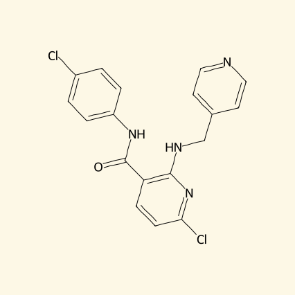 O=C(Nc1ccc(Cl)cc1)c1ccc(Cl)nc1NCc1ccncc1